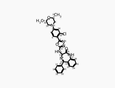 C[C@@H]1CN(c2ccc(-c3nnc(NC4N=C(c5ccccc5)c5ccccc5NC4=O)o3)c(Cl)c2)C[C@H](C)O1